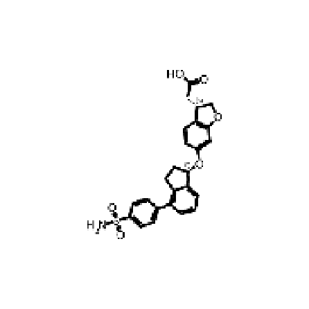 NS(=O)(=O)c1ccc(-c2cccc3c2CC[C@H]3Oc2ccc3c(c2)OC[C@H]3CC(=O)O)cc1